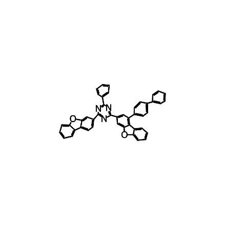 c1ccc(-c2ccc(-c3cc(-c4nc(-c5ccccc5)nc(-c5ccc6c(c5)oc5ccccc56)n4)cc4oc5ccccc5c34)cc2)cc1